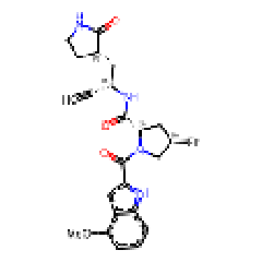 C#C[C@H](C[C@@H]1CCNC1=O)NC(=O)[C@@H]1C[C@@H](CC)CN1C(=O)c1cc2c(OC)cccc2[nH]1